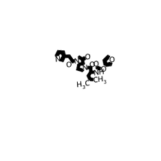 CC(C)CC(NC(=O)Oc1ccoc1)C(=O)N1CCC2C1C(=O)CN2C(=O)Cc1cccnc1